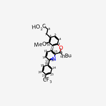 CCCC[C@H](Oc1ccc(CCC(=O)O)c(OC)c1)c1cccc(-c2ccc(C(F)(F)F)cc2)n1